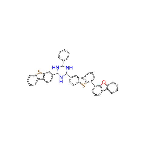 c1ccc(C2NC(c3ccc4c(c3)sc3ccccc34)NC(c3ccc4sc5c(-c6cccc7c6oc6ccccc67)cccc5c4c3)N2)cc1